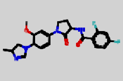 COC1C=C(N2CCC(NC(=O)c3ccc(F)cc3F)C2=O)C=CC1N1C=NC(C)C1